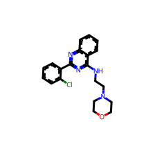 Clc1ccccc1-c1nc(NCCN2CCOCC2)c2ccccc2n1